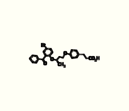 CCc1ccc(O[C@H](C)CCOc2ccc(CCC(=O)O)cc2)c(C(=O)c2ccccc2)c1